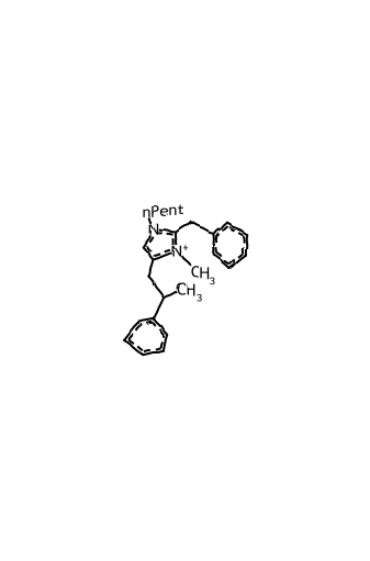 CCCCCn1cc(CC(C)c2ccccc2)[n+](C)c1Cc1ccccc1